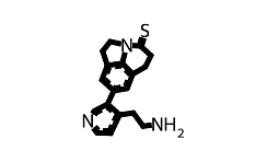 NCCc1ccncc1-c1cc2c3c(c1)CCN3C(=S)CC2